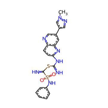 Cn1cc(-c2cnc3ccc(NC(=N)SC(=N)S(=O)(=O)Nc4ccccc4)nc3c2)cn1